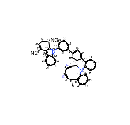 CC1/C=C\C=C/CN(c2ccccc2C2=CC=C(c3ccc(C#N)c(-n4c5c(c6ccccc64)C(C#N)=CCC5)c3)CC2)c2ccccc21